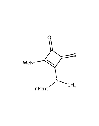 CCCCCN(C)c1c(NC)c(=O)c1=S